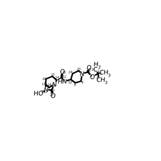 CC(C)(C)OC(=O)N1CCC(NC(=O)[C@@H]2CCC3CN2C(=O)N3O)CC1